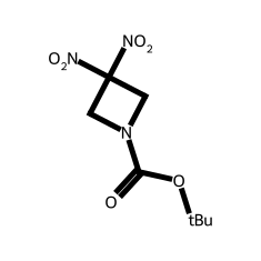 CC(C)(C)OC(=O)N1CC([N+](=O)[O-])([N+](=O)[O-])C1